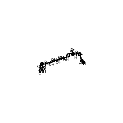 Cc1ccc(C(=O)Nc2ccc(CN3CCN([CH]CC(O)CCC(O)CCC(O)CCC(O)CCC(O)CCC(=O)Nc4cccc5c4C(=O)N(C4CCC(=O)NC4=O)C5=O)CC3)c(C(F)(F)F)c2)cc1C#Cc1cnc2[nH]ncc2c1